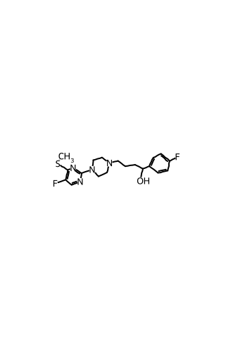 CSc1nc(N2CCN(CCCC(O)c3ccc(F)cc3)CC2)ncc1F